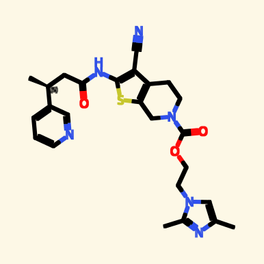 Cc1cn(CCOC(=O)N2CCc3c(sc(NC(=O)C[C@H](C)c4cccnc4)c3C#N)C2)c(C)n1